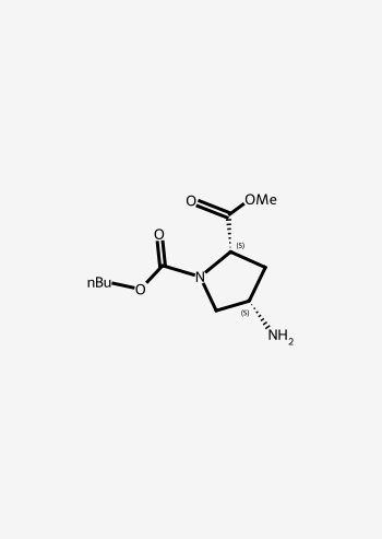 CCCCOC(=O)N1C[C@@H](N)C[C@H]1C(=O)OC